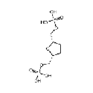 O=P(O)(O)OC[C@H]1CC[C@@H](COP(=O)(O)O)O1